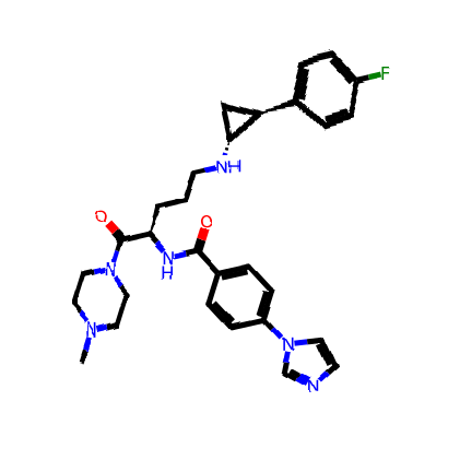 CN1CCN(C(=O)[C@@H](CCCN[C@@H]2C[C@H]2c2ccc(F)cc2)NC(=O)c2ccc(-n3ccnc3)cc2)CC1